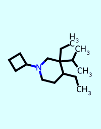 CCC1CCN(C2CCC2)CC1(CC)C(C)C